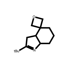 CC(C)(C)C1=NC2CCCC3(COC3)C2C1